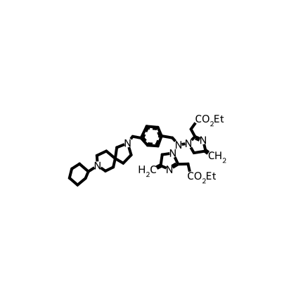 C=C1CN(N(Cc2ccc(CN3CCC4(CCN(C5CCCCC5)CC4)C3)cc2)N2CC(=C)N=C2CC(=O)OCC)C(CC(=O)OCC)=N1